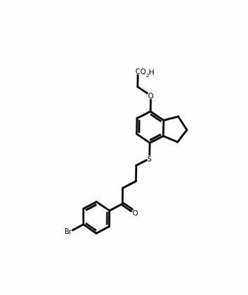 O=C(O)COc1ccc(SCCCC(=O)c2ccc(Br)cc2)c2c1CCC2